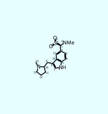 CNC(c1ccc2[nH]cc(CC3CCCN3C)c2c1)=S(=O)=O